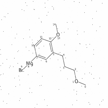 COCCCc1c[c]([Mg][Br])ccc1OC